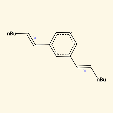 CCCC/C=C/c1c[c]cc(/C=C/CCCC)c1